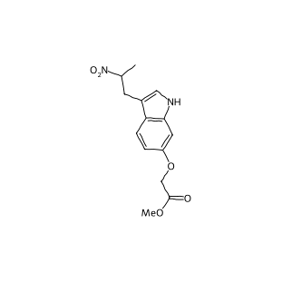 COC(=O)COc1ccc2c(CC(C)[N+](=O)[O-])c[nH]c2c1